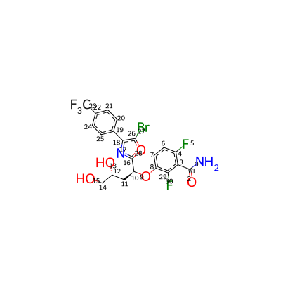 NC(=O)c1c(F)ccc(O[C@@H](C[C@@H](O)CO)c2nc(-c3ccc(C(F)(F)F)cc3)c(Br)o2)c1F